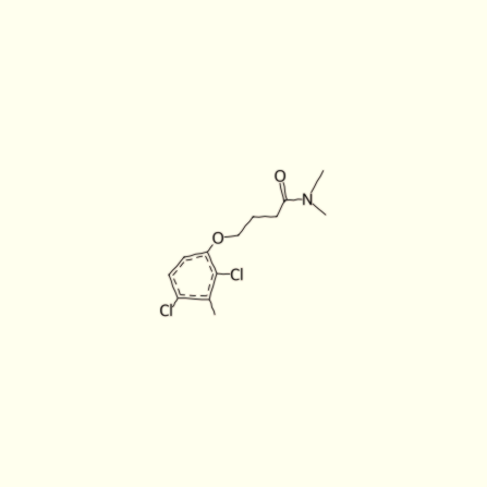 Cc1c(Cl)ccc(OCCCC(=O)N(C)C)c1Cl